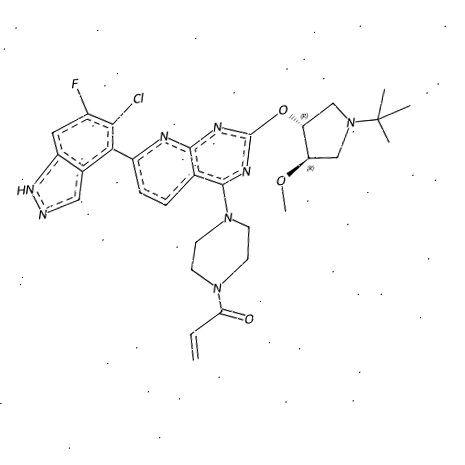 C=CC(=O)N1CCN(c2nc(O[C@@H]3CN(C(C)(C)C)C[C@H]3OC)nc3nc(-c4c(Cl)c(F)cc5[nH]ncc45)ccc23)CC1